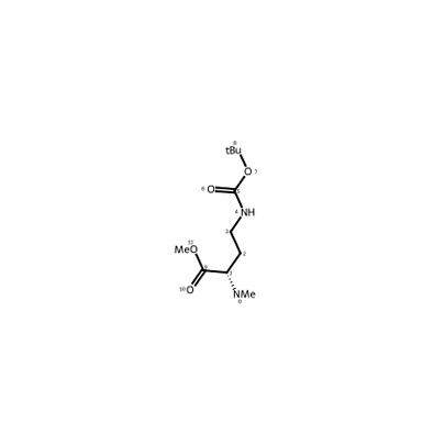 CN[C@@H](CCNC(=O)OC(C)(C)C)C(=O)OC